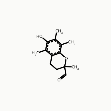 Cc1c(C)c2c(c(C)c1O)CCC(C)([C]=O)O2